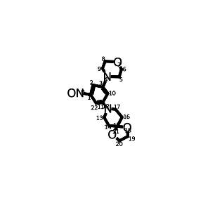 O=Nc1cc(N2CCOCC2)cc(N2CCC3(CC2)OCCO3)c1